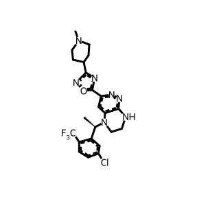 C[C@H](c1cc(Cl)ccc1C(F)(F)F)N1CCNc2nnc(-c3nc(C4CCN(C)CC4)no3)cc21